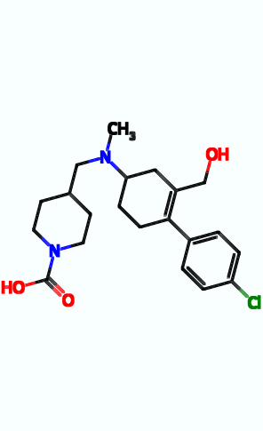 CN(CC1CCN(C(=O)O)CC1)C1CCC(c2ccc(Cl)cc2)=C(CO)C1